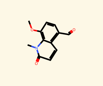 COc1ccc(C=O)c2ccc(=O)n(C)c12